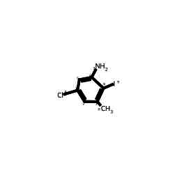 Cc1cc(Cl)cc(N)c1I